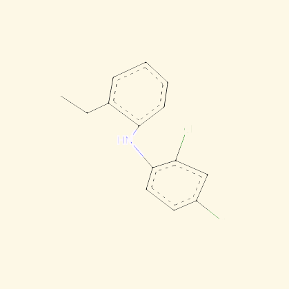 CCc1ccccc1Nc1ccc(Cl)cc1Cl